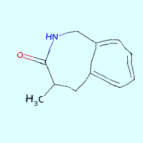 CC1Cc2ccccc2CNC1=O